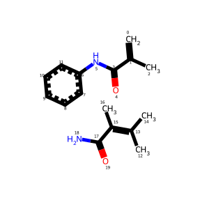 C=C(C)C(=O)Nc1ccccc1.CC(C)=C(C)C(N)=O